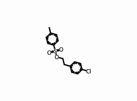 Cc1ccc(S(=O)(=O)OCCc2ccc(Cl)cc2)cc1